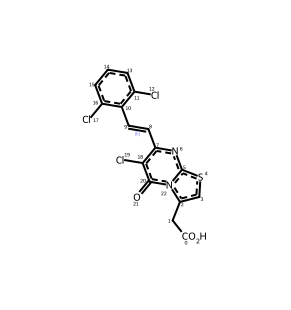 O=C(O)Cc1csc2nc(/C=C/c3c(Cl)cccc3Cl)c(Cl)c(=O)n12